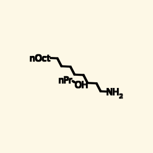 CCCCCCCCCCCCCCCCN.CCCO